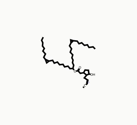 CC/C=C\CC1C(O)CCC1CC(=O)OC(CCCCCCCCC1CC1CCCCCCCC)CCCCCCCCC1CC1CCCCCCCC